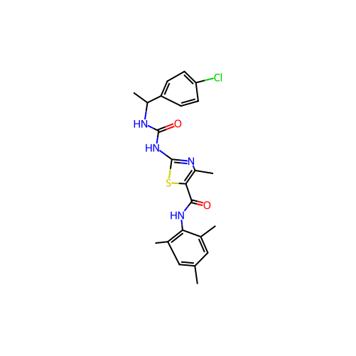 Cc1cc(C)c(NC(=O)c2sc(NC(=O)NC(C)c3ccc(Cl)cc3)nc2C)c(C)c1